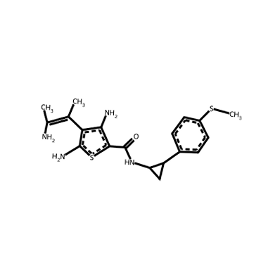 CSc1ccc(C2CC2NC(=O)c2sc(N)c(/C(C)=C(/C)N)c2N)cc1